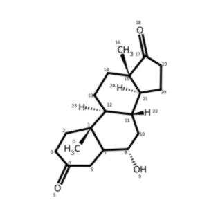 C[C@]12CCC(=O)CC1[C@@H](O)C[C@@H]1[C@@H]2CC[C@]2(C)C(=O)CC[C@@H]12